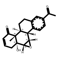 CC(=O)c1ccc2c(c1)CC[C@H]1[C@H]2[C@@H]2O[C@@H]2[C@@]2(O)CC=CC(=O)[C@]12C